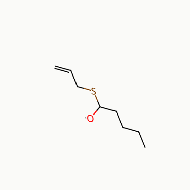 C=CCSC([O])CCCC